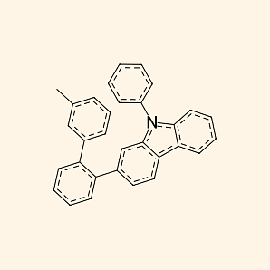 Cc1cccc(-c2ccccc2-c2ccc3c4ccccc4n(-c4ccccc4)c3c2)c1